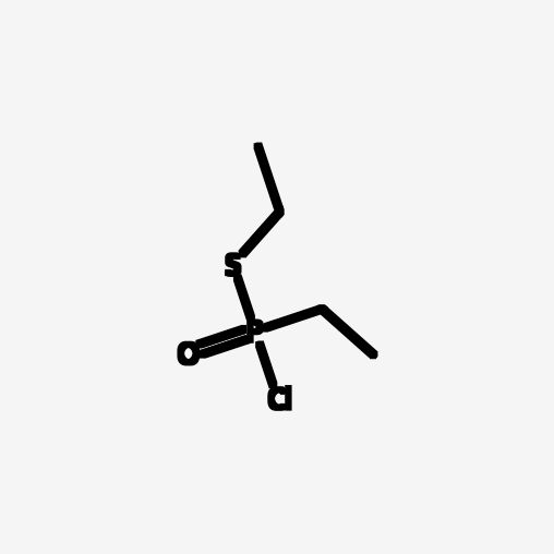 CCSP(=O)(Cl)CC